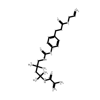 C=CCOC(=O)CCc1ccc(OC(=O)NCC(C)(C)CC(C)(C)NC(=O)C(=C)C)cc1